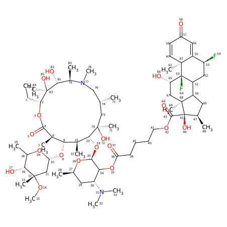 CC[C@H]1OC(=O)[C@H](C)[C@@H](O[C@@H]2C[C@](C)(OC)[C@H](O)C(C)O2)[C@H](C)[C@@H](O[C@@H]2O[C@H](C)C[C@@H](N(C)C)C2OC(=O)CCCCOC(=O)[C@@]2(O)[C@H](C)CC3C4C[C@H](F)C5=CC(=O)C=C[C@]5(C)[C@@]4(F)[C@@H](O)C[C@@]32C)[C@](C)(O)C[C@@H](C)CN(C)[C@H](C)[C@@H](O)[C@]1(C)O